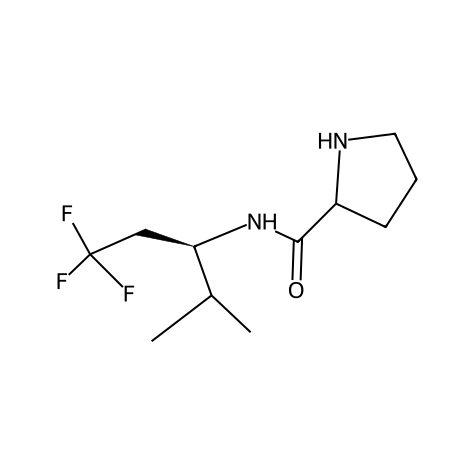 CC(C)[C@@H](CC(F)(F)F)NC(=O)C1CCCN1